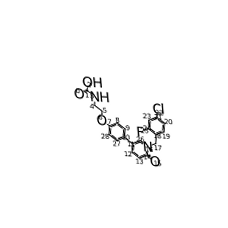 O=C(O)NCCOc1ccc(-c2ccc(=O)n(Cc3ccc(Cl)cc3F)c2)cc1